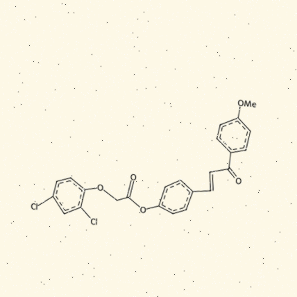 COc1ccc(C(=O)C=Cc2ccc(OC(=O)COc3ccc(Cl)cc3Cl)cc2)cc1